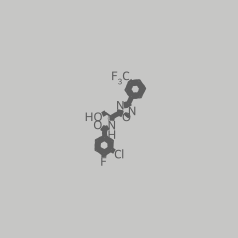 O=C(N[C@@H](CO)c1nc(-c2cccc(C(F)(F)F)c2)no1)c1ccc(F)c(Cl)c1